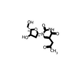 CC(=O)Cc1cn([C@@H]2CC(O)[C@H](CO)O2)c(=O)[nH]c1=O